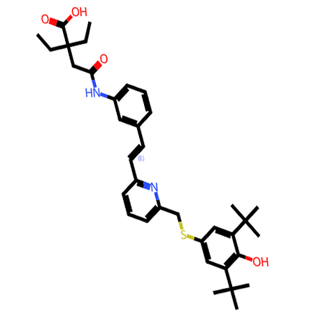 CCC(CC)(CC(=O)Nc1cccc(/C=C/c2cccc(CSc3cc(C(C)(C)C)c(O)c(C(C)(C)C)c3)n2)c1)C(=O)O